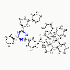 c1ccc(-c2cccc(-c3nc(-c4ccccc4)nc(-c4cccc(-c5ccc(C6(c7ccccc7)c7ccccc7-c7c6c6ccccc6c6ccccc76)cc5)c4)n3)c2)cc1